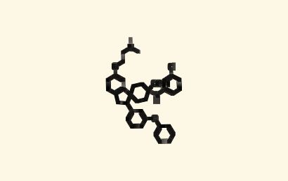 CN(C)CCOc1ccc2c(c1)C1(CCC(Nc3cccc(Cl)c3)(C(=O)O)CC1)C(c1cccc(Oc3ccccc3)c1)C2